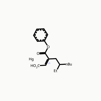 CCCCC(CC)C/C(=C/C(=O)O)C(=O)Oc1ccccc1.[Hg]